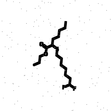 CCCCCC(SCCCCCCC(F)F)C(=O)OCCC